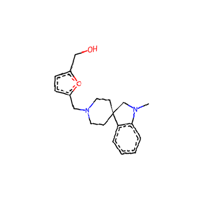 CN1CC2(CCN(Cc3ccc(CO)o3)CC2)c2ccccc21